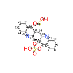 O=S(=O)(O)Oc1c2ccccc2nc2cc3c(OSO)c4ccccc4nc3cc12